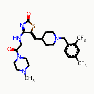 CN1CCN(C(=O)CNC2=NC(=O)SC2=CC2CCN(Cc3ccc(C(F)(F)F)cc3C(F)(F)F)CC2)CC1